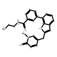 CC(C)n1cc(Cc2cc3cccc(-c4cccc(C(=O)NCCO)c4)c3s2)ccc1=O